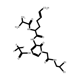 CCC(CC)CNC(=O)Cn1cccc(NC(=O)C(CCC=CC(=O)O)NC(=O)C(C)N)c1=O.O=C(O)C(F)(F)F